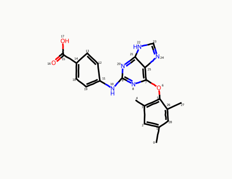 Cc1cc(C)c(Oc2nc(Nc3ccc(C(=O)O)cc3)nc3[nH]cnc23)c(C)c1